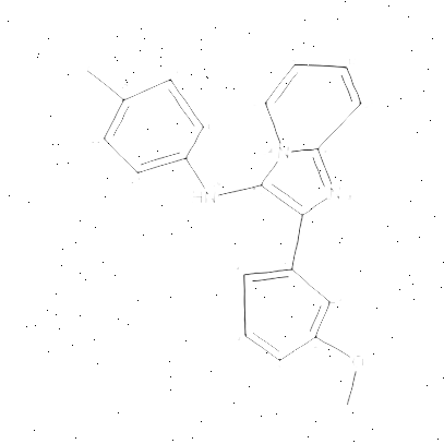 COc1cccc(-c2nc3ccccn3c2Nc2ccc(C)cc2)c1